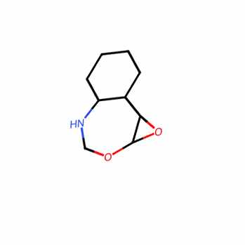 C1CCC2C(C1)NCOC1OC12